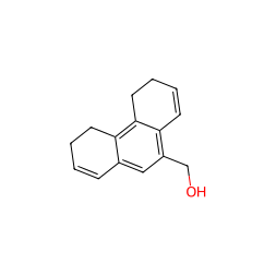 OCc1cc2c(c3c1C=CCC3)CCC=C2